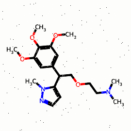 COc1cc(C(COCCN(C)C)c2ccnn2C)cc(OC)c1OC